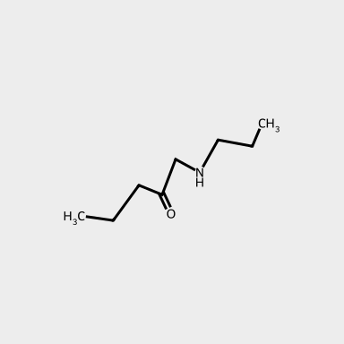 CCCNCC(=O)CCC